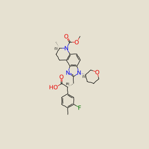 COC(=O)N1c2ccc3c(nc(C[C@@H](C(=O)O)c4ccc(C)c(F)c4)n3[C@H]3CCCOC3)c2CC[C@@H]1C